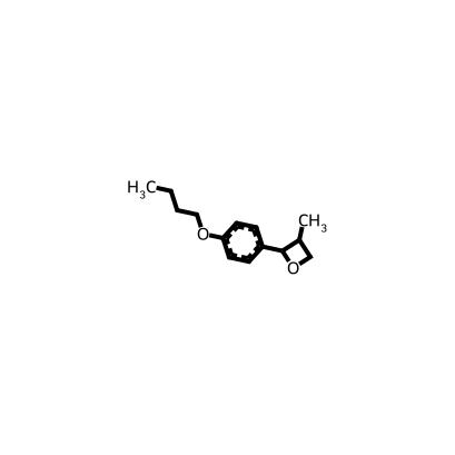 CCCCOc1ccc(C2OCC2C)cc1